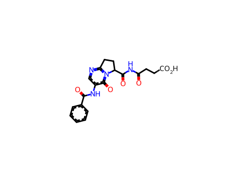 O=C(O)CCC(=O)NC(=O)C1CCc2ncc(NC(=O)c3ccccc3)c(=O)n21